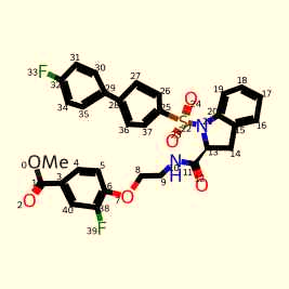 COC(=O)c1ccc(OCCNC(=O)[C@@H]2Cc3ccccc3N2S(=O)(=O)c2ccc(-c3ccc(F)cc3)cc2)c(F)c1